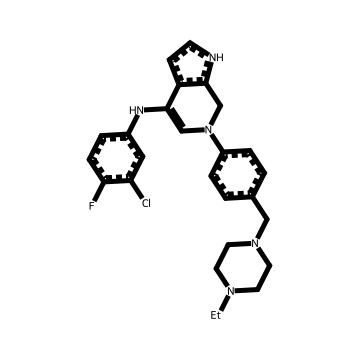 CCN1CCN(Cc2ccc(N3C=C(Nc4ccc(F)c(Cl)c4)c4cc[nH]c4C3)cc2)CC1